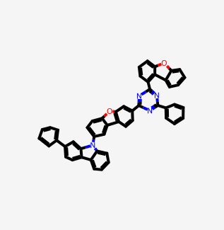 c1ccc(-c2ccc3c4ccccc4n(-c4ccc5oc6cc(-c7nc(-c8ccccc8)nc(-c8cccc9oc%10ccccc%10c89)n7)ccc6c5c4)c3c2)cc1